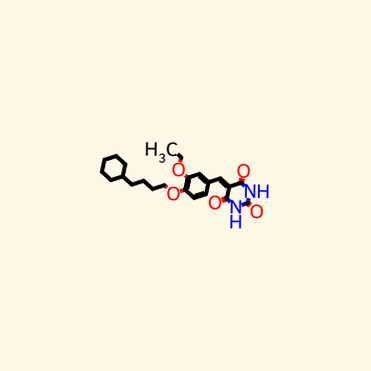 CCOc1cc(C=C2C(=O)NC(=O)NC2=O)ccc1OCCCCC1CCCCC1